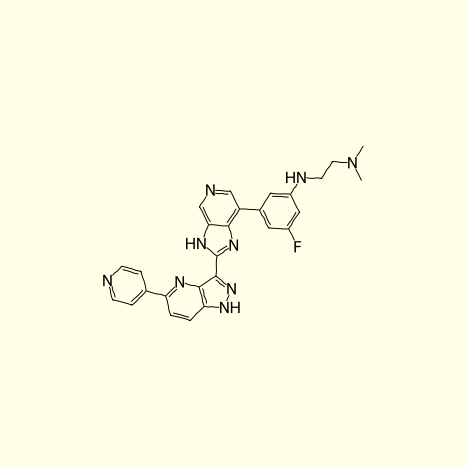 CN(C)CCNc1cc(F)cc(-c2cncc3[nH]c(-c4n[nH]c5ccc(-c6ccncc6)nc45)nc23)c1